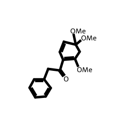 COC1=C(C(=O)Cc2ccccc2)C=CC(OC)(OC)C1